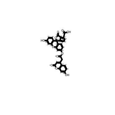 O=C(Cc1cc(=O)oc2cc(O)ccc12)Oc1ccc2c(c1)Oc1cc(O)ccc1C21OC(=O)c2c(C(=O)O)cccc21